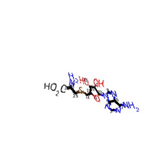 Nc1ncnc2c1ncn2C1OC(CSCC(N)C(=O)O)[C@H](O)[C@@H]1O